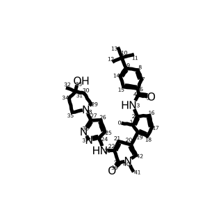 Cc1c(NC(=O)c2ccc(C(C)(C)C)cc2)cccc1-c1cc(Nc2ccc(N3CCC(C)(O)CC3)nn2)c(=O)n(C)c1